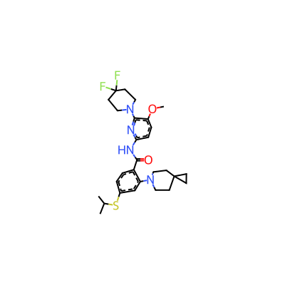 COc1ccc(NC(=O)c2ccc(SC(C)C)cc2N2CCC3(CC2)CC3)nc1N1CCC(F)(F)CC1